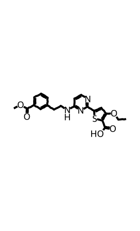 CCOc1cc(-c2nccc(NCCc3cccc(C(=O)OC)c3)n2)sc1C(=O)O